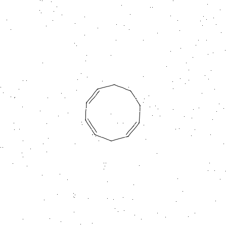 [C]1=C\C=C/CCC/C=C\C/1